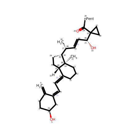 C=C1CC[C@H](O)C/C1=C/C=C1\CCC[C@]2(C)[C@@H]([C@H](C)/C=C/[C@@H](O)C3(C(=O)CCCCC)CC3)CC[C@@H]12